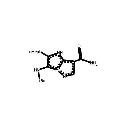 CCCCCCCc1[nH]c2c(C(N)=O)cnn2c1NC(C)(C)C